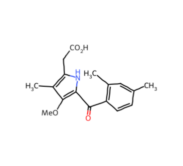 COc1c(C(=O)c2ccc(C)cc2C)[nH]c(CC(=O)O)c1C